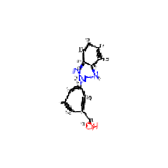 OCc1cccc(-n2nc3ccccc3n2)c1